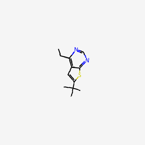 CCc1ncnc2sc(C(C)(C)C)cc12